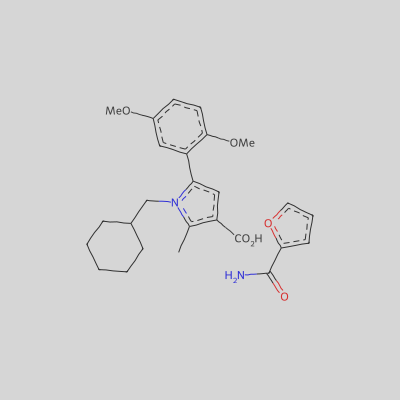 COc1ccc(OC)c(-c2cc(C(=O)O)c(C)n2CC2CCCCC2)c1.NC(=O)c1ccco1